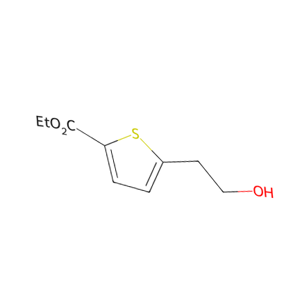 CCOC(=O)c1ccc(CCO)s1